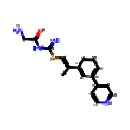 C/C(=C\SC(=N)NC(=O)CN)c1cccc(-c2ccncc2)c1